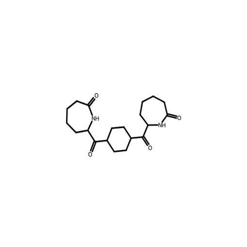 O=C1CCCCC(C(=O)C2CCC(C(=O)C3CCCCC(=O)N3)CC2)N1